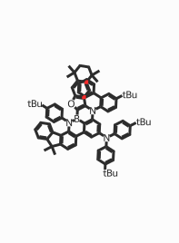 CC(C)(C)c1ccc(N2B3c4oc5cc6c(cc5c4N(c4ccc(C(C)(C)C)cc4-c4ccccc4)c4cc(N(c5ccc(C(C)(C)C)cc5)c5ccc(C(C)(C)C)cc5)cc(c43)-c3ccc4c(c32)-c2ccccc2C4(C)C)C(C)(C)CCC6(C)C)cc1